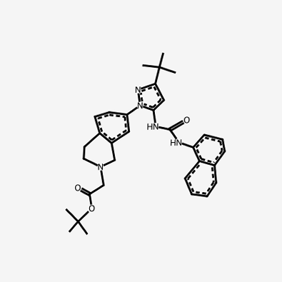 CC(C)(C)OC(=O)CN1CCc2ccc(-n3nc(C(C)(C)C)cc3NC(=O)Nc3cccc4ccccc34)cc2C1